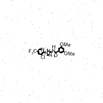 COc1cc(OC)cc(C(=O)Nc2ncn(-c3ncc(C(F)(F)F)cc3Cl)n2)c1